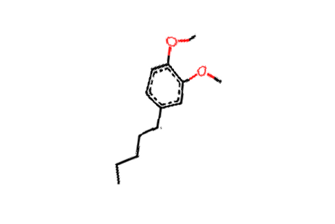 CCCC[CH]c1ccc(OC)c(OC)c1